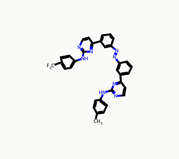 Cc1ccc(Nc2nccc(-c3cccc(/N=N/c4cccc(-c5ccnc(Nc6ccc(C(F)(F)F)cc6)n5)c4)c3)n2)cc1